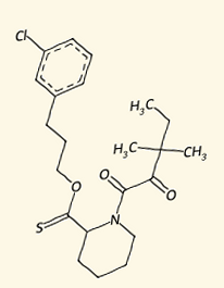 CCC(C)(C)C(=O)C(=O)N1CCCCC1C(=S)OCCCc1cccc(Cl)c1